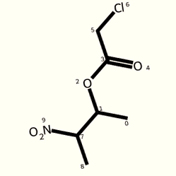 CC(OC(=O)CCl)C(C)[N+](=O)[O-]